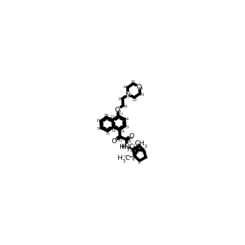 CC1(C)C2CC[C@@]1(C)[C@@H](NC(=O)C(=O)c1ccc(OCCN3CCOCC3)c3ccccc13)C2